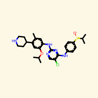 Cc1cc(Nc2ncc(Cl)c(Nc3ccc([S@+]([O-])C(C)C)cc3)n2)c(OC(C)C)cc1C1CCNCC1